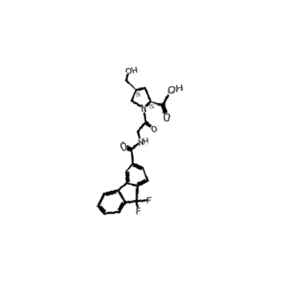 O=C(NCC(=O)N1C[C@@H](CO)C[C@H]1C(=O)O)c1ccc2c(c1)-c1ccccc1C2(F)F